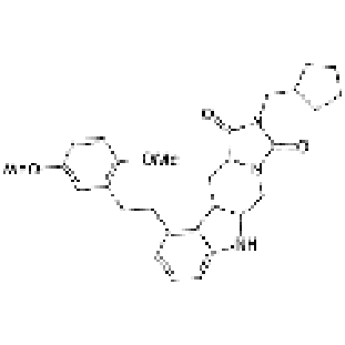 COc1ccc(OC)c(CCc2cccc3c2C2CC4C(=O)N(CC5CCCC5)C(=O)N4CC2N3)c1